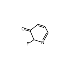 O=C1C=CC=NC1F